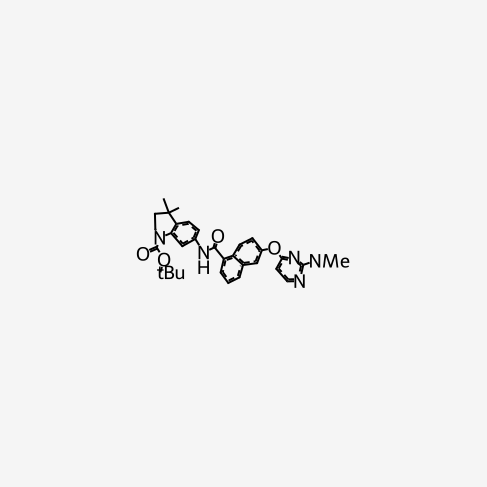 CNc1nccc(Oc2ccc3c(C(=O)Nc4ccc5c(c4)N(C(=O)OC(C)(C)C)CCC5(C)C)cccc3c2)n1